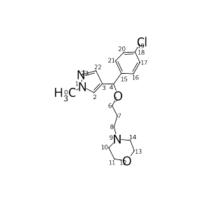 Cn1cc(C(OCCCN2CCOCC2)c2ccc(Cl)cc2)cn1